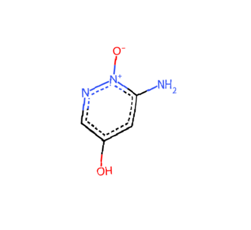 Nc1cc(O)cn[n+]1[O-]